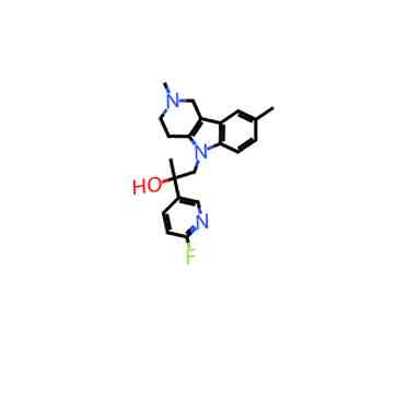 Cc1ccc2c(c1)c1c(n2CC(C)(O)c2ccc(F)nc2)CCN(C)C1